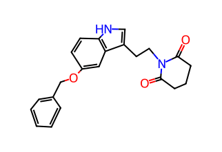 O=C1CCCC(=O)N1CCc1c[nH]c2ccc(OCc3ccccc3)cc12